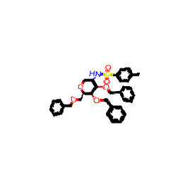 Cc1ccc(S(=O)(=O)N[C@H]2CO[C@H](COCc3ccccc3)[C@H](OCc3ccccc3)[C@@H]2OCc2ccccc2)cc1